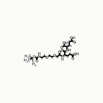 CC(C)(C)OC(=O)NCCOCCOCC(=O)NC(CCC(=O)O)C(=O)NC(CCC(=O)O)C(=O)O